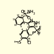 CSc1ccc(-c2c(-c3ccccc3S(N)(=O)=O)n[nH]c2C(F)(F)F)cc1Cl